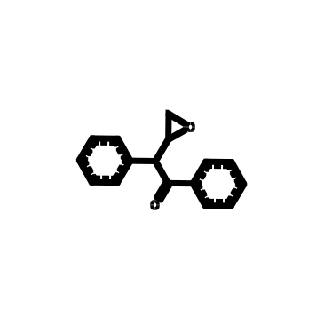 O=C(c1ccccc1)C(c1ccccc1)C1CO1